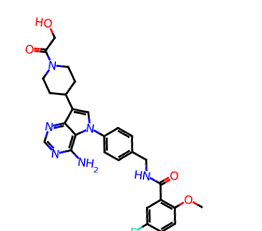 COc1ccc(F)cc1C(=O)NCc1ccc(-n2cc(C3CCN(C(=O)CO)CC3)c3ncnc(N)c32)cc1